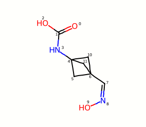 O=C(O)NC12CC(/C=N\O)(C1)C2